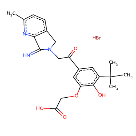 Br.Cc1ccc2c(n1)C(=N)N(CC(=O)c1cc(OCC(=O)O)c(O)c(C(C)(C)C)c1)C2